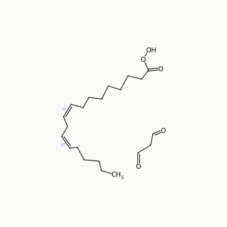 CCCCC/C=C\C/C=C\CCCCCCCC(=O)OO.O=CCC=O